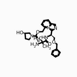 CC(C)(N)C(=O)N[C@H](COCc1ccccc1)c1ncc2cccc(COC(=O)N3CC[C@@H](O)C3)n12